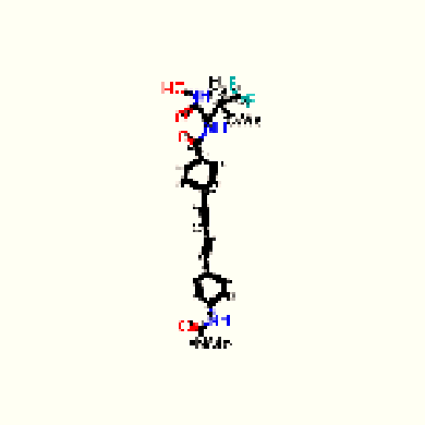 CNC(=O)Nc1ccc(C#CC#Cc2ccc(C(=O)N[C@H](C(=O)NO)C(C)(OC)C(F)F)cc2)cc1